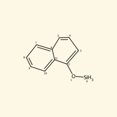 [SiH3]Oc1cccc2ccccc12